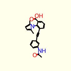 CC(=O)Nc1cccc(C#Cc2cccc(C(=O)O)c2-n2c(C)ccc2C)c1